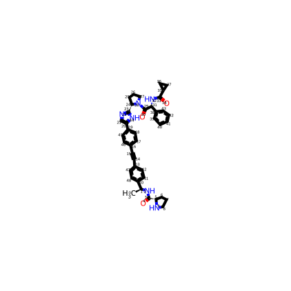 C[C@H](NC(=O)[C@@H]1CCCN1)c1ccc(C#Cc2ccc(-c3cnc([C@@H]4CCCN4C(=O)[C@H](NC(=O)C4CC4)c4ccccc4)[nH]3)cc2)cc1